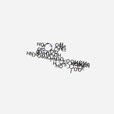 CCN[C@H]1CO[C@@H](O[C@H]2[C@H](O[C@H]3C#C/C=C\C#C[C@]4(O)CC(=O)C(NC(=O)OC)=C3/C4=C\CSS[C@@H]3CCNC3)O[C@H](C)[C@@H](NO[C@H]3C[C@H](O)[C@H](SC(=O)c4c(C)c(I)c(O[C@@H]5O[C@@H](C)[C@H](O)[C@@H](OC)[C@H]5O)c(OC)c4OC)[C@@H](C)O3)[C@@H]2O)C[C@@H]1OC